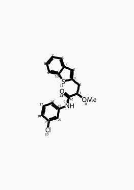 COC(Cc1cc2ccccc2s1)C(=O)Nc1cccc(Cl)c1